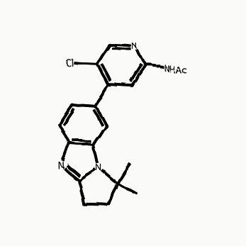 CC(=O)Nc1cc(-c2ccc3nc4n(c3c2)C(C)(C)CC4)c(Cl)cn1